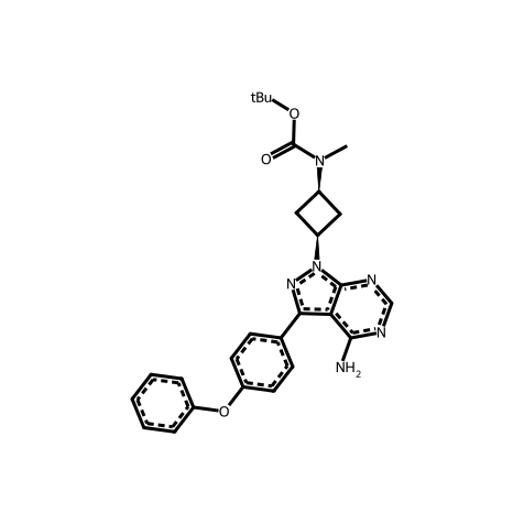 CN(C(=O)OC(C)(C)C)[C@H]1C[C@@H](n2nc(-c3ccc(Oc4ccccc4)cc3)c3c(N)ncnc32)C1